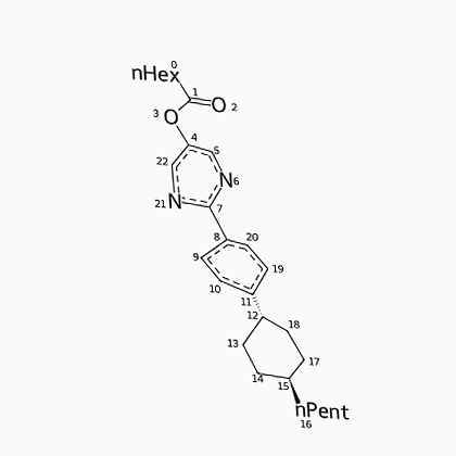 CCCCCCC(=O)Oc1cnc(-c2ccc([C@H]3CC[C@H](CCCCC)CC3)cc2)nc1